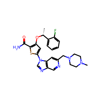 C[C@@H](Oc1cc(-n2cnc3cnc(CN4CCN(C)CC4)cc32)sc1C(N)=O)c1ccccc1F